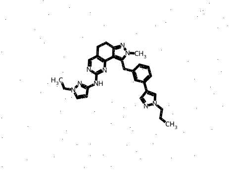 CCCn1cc(-c2cccc(Cc3c4c(nn3C)CCc3cnc(Nc5ccn(CC)n5)nc3-4)c2)cn1